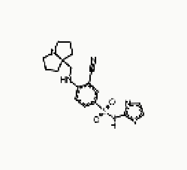 N#Cc1cc(S(=O)(=O)Nc2nccs2)ccc1NCC12CCCN1CCC2